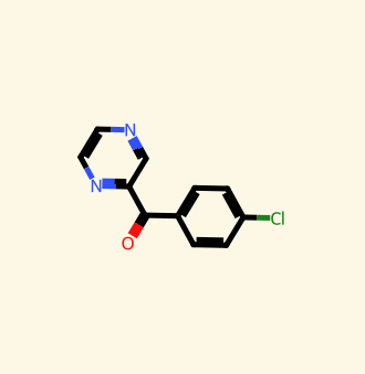 O=C(c1ccc(Cl)cc1)c1cnccn1